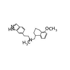 COc1cccc2c1CCCC2CN(C)CCc1ccc2cn[nH]c2c1